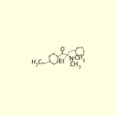 C=Cc1ccc(C(=O)C(CC)(Cc2ccccc2)N(C)C)cc1